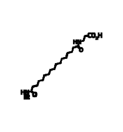 CCNC(=O)CCCCCCCCCCCCCCCC(=O)NCCC(=O)O